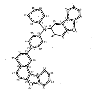 C1=c2oc3ccccc3c2=CC(N(c2ccccc2)c2ccc(-c3ccc4ccc5oc6ccccc6c5c4c3)cc2)C1